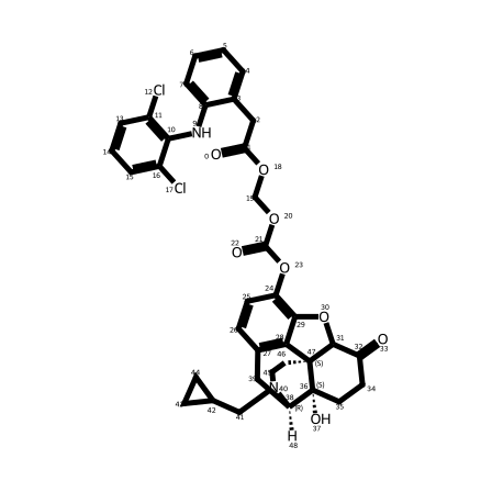 O=C(Cc1ccccc1Nc1c(Cl)cccc1Cl)OCOC(=O)Oc1ccc2c3c1OC1C(=O)CC[C@@]4(O)[C@@H](C2)N(CC2CC2)CC[C@]314